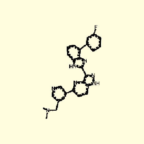 CN(C)Cc1cncc(-c2ccc3[nH]nc(-c4nc5c(-c6cccc(F)c6)cccc5[nH]4)c3n2)c1